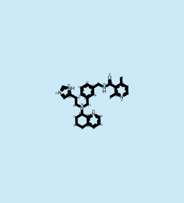 Cc1ccnc(C)c1C(=O)NCc1cccc(CN(CCc2cnc[nH]2)C2CCCc3cccnc32)c1